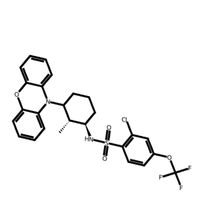 C[C@@H]1C(N2c3ccccc3Oc3ccccc32)CCC[C@H]1NS(=O)(=O)c1ccc(OC(F)(F)F)cc1Cl